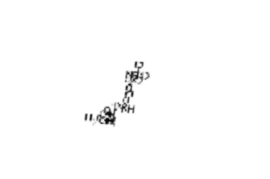 CC(C)(C)OC(=O)NCCNC(=N)N1Cc2ccc(OC[C@H](ON)C(=O)OC(c3ccccc3)c3ccccc3)cc2C1